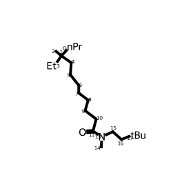 CCCC(C)(CC)CCCCCCCC(=O)N(C)CCC(C)(C)C